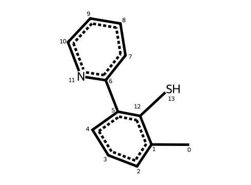 Cc1cccc(-c2ccccn2)c1S